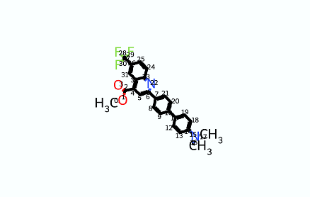 COC(=O)c1cc(-c2ccc(-c3ccc(N(C)C)cc3)cc2)nc2ccc(C(F)(F)F)cc12